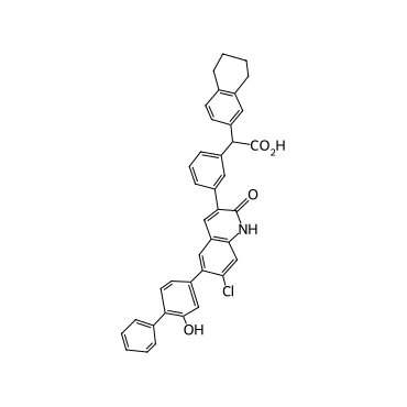 O=C(O)C(c1cccc(-c2cc3cc(-c4ccc(-c5ccccc5)c(O)c4)c(Cl)cc3[nH]c2=O)c1)c1ccc2c(c1)CCCC2